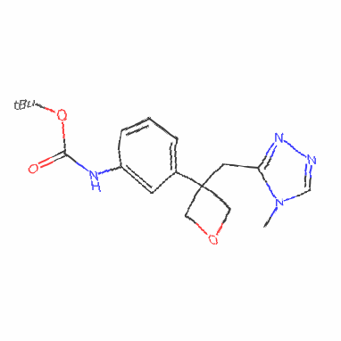 Cn1cnnc1CC1(c2cccc(NC(=O)OC(C)(C)C)c2)COC1